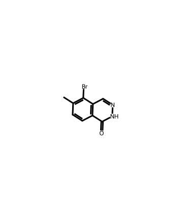 Cc1ccc2c(=O)[nH]ncc2c1Br